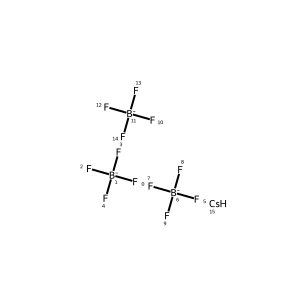 F[B-](F)(F)F.F[B-](F)(F)F.F[B-](F)(F)F.[CsH]